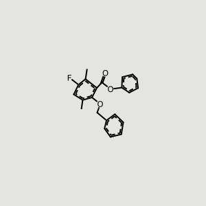 Cc1cc(F)c(C)c(C(=O)Oc2ccccc2)c1OCc1ccccc1